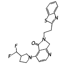 O=C1c2c(N3CCC(C(F)F)C3)ccnc2CN1CCc1nc2ccccc2s1